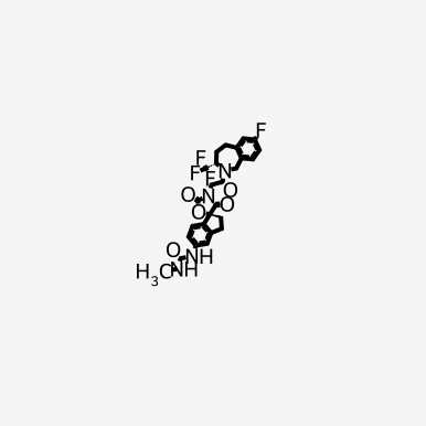 CNC(=O)Nc1ccc2c(c1)CC[C@]21OC(=O)N(CC(=O)N2Cc3ccc(F)cc3CC[C@H]2C(F)(F)F)C1=O